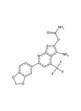 NC(=O)Oc1sc2nc(-c3ccc4c(c3)OCO4)cc(C(F)(F)F)c2c1N